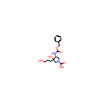 O=C(N[C@H]1CN(C(=O)O)CC1(O)CCCO)OCc1ccccc1